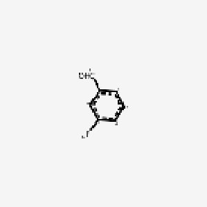 O=Cc1cc[c]c(F)c1